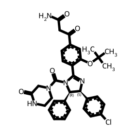 CC(C)(C)Oc1cc(C(=O)CC(N)=O)ccc1C1=N[C@@H](c2ccc(Cl)cc2)[C@@H](c2ccccc2)N1C(=O)N1CCNC(=O)C1